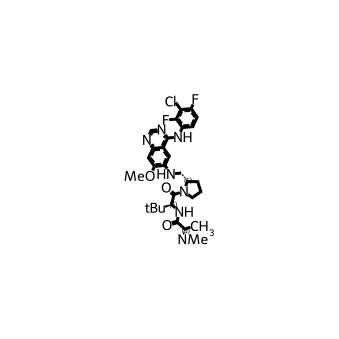 CN[C@@H](C)C(=O)N[C@H](C(=O)N1CCC[C@H]1CNc1cc2c(Nc3ccc(F)c(Cl)c3F)ncnc2cc1OC)C(C)(C)C